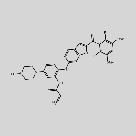 C=CC(=O)Nc1cc(N2CCN(CC)CC2)ccc1Nc1cc2oc(C(=O)c3c(F)c(OC)cc(OC)c3F)cc2cn1